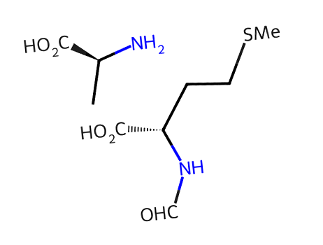 CSCC[C@H](NC=O)C(=O)O.C[C@H](N)C(=O)O